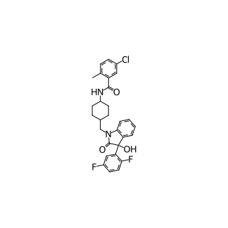 Cc1ccc(Cl)cc1C(=O)NC1CCC(CN2C(=O)C(O)(c3cc(F)ccc3F)c3ccccc32)CC1